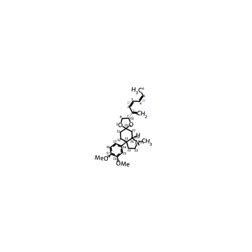 C=C(/C=C\C=C/C)[C@H]1COC2(CC[C@@]3(c4ccc(OC)c(OC)c4)CCN(C)[C@H]3C2)O1